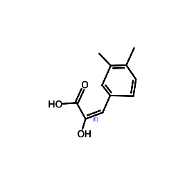 Cc1ccc(/C=C(/O)C(=O)O)cc1C